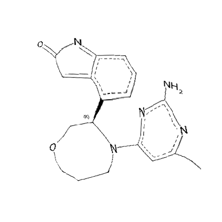 Cc1cc(N2CCCOC[C@H]2c2cccc3c2=CC(=O)N=3)nc(N)n1